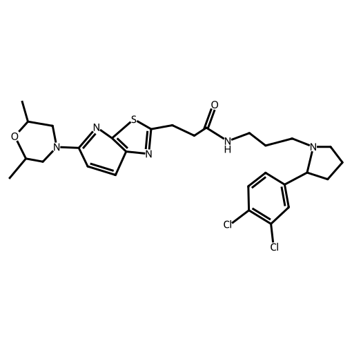 CC1CN(c2ccc3nc(CCC(=O)NCCCN4CCCC4c4ccc(Cl)c(Cl)c4)sc3n2)CC(C)O1